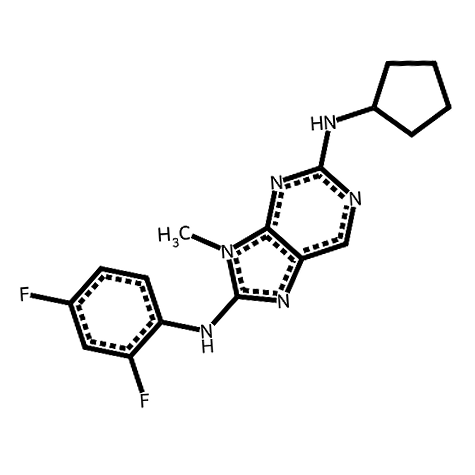 Cn1c(Nc2ccc(F)cc2F)nc2cnc(NC3CCCC3)nc21